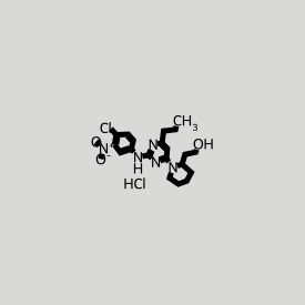 CCCc1cc(N2CCCCC2CCO)nc(Nc2ccc(Cl)c([N+](=O)[O-])c2)n1.Cl